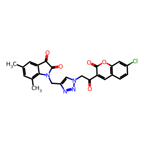 Cc1cc(C)c2c(c1)C(=O)C(=O)N2Cc1cn(CC(=O)c2cc3ccc(Cl)cc3oc2=O)nn1